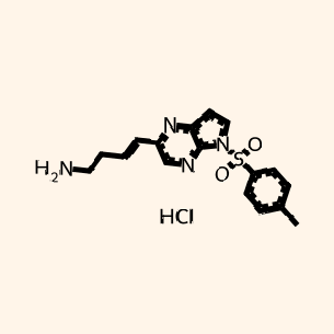 Cc1ccc(S(=O)(=O)n2ccc3nc(/C=C/CCN)cnc32)cc1.Cl